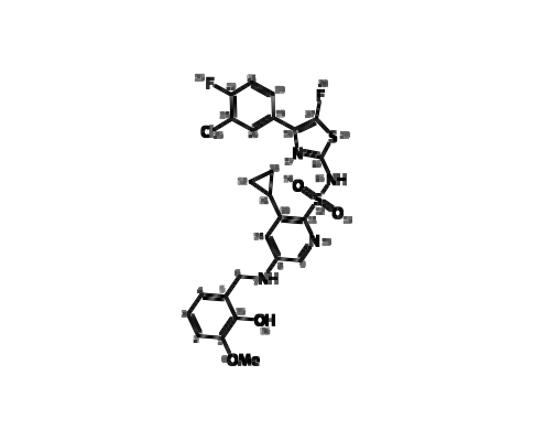 COc1cccc(CNc2cnc(S(=O)(=O)Nc3nc(-c4ccc(F)c(Cl)c4)c(F)s3)c(C3CC3)c2)c1O